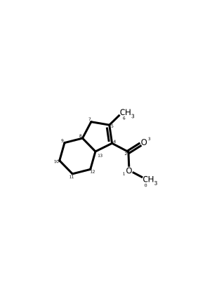 COC(=O)C1=C(C)CC2CCCCC12